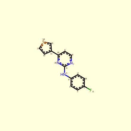 Fc1ccc(Nc2nccc(-c3ccsc3)n2)cc1